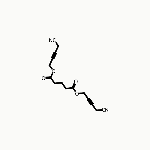 N#CCC#CCOC(=O)CCCC(=O)OCC#CCC#N